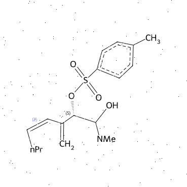 C=C(/C=C\CCC)[C@H](OS(=O)(=O)c1ccc(C)cc1)C(O)NC